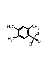 Cc1cc(C)c(P(=O)(Cl)Cl)cc1C